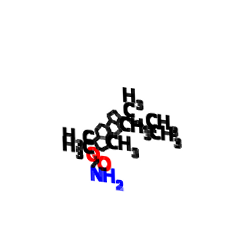 CC(C)=CCCC(C)C1CCC2C3=C(CCC21C)C1(C)CCC(OC(=O)CN)C(C)(C)C1CC3